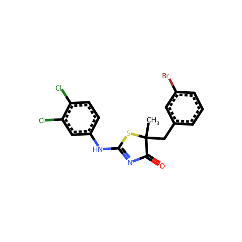 CC1(Cc2cccc(Br)c2)SC(Nc2ccc(Cl)c(Cl)c2)=NC1=O